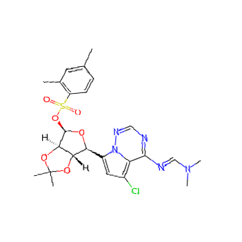 Cc1ccc(S(=O)(=O)O[C@H]2O[C@@H](c3cc(Cl)c4c(/N=C/N(C)C)ncnn34)[C@@H]3OC(C)(C)O[C@@H]23)c(C)c1